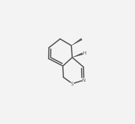 C[C@@H]1CC=C=C2CSN=C[C@H]21